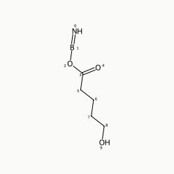 N=BOC(=O)CCCCO